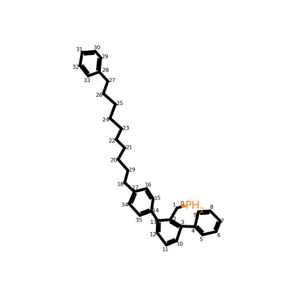 PCc1c(-c2ccccc2)cccc1-c1ccc(CCCCCCCCCCc2ccccc2)cc1